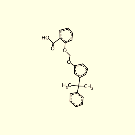 CC(C)(c1ccccc1)c1cccc(OCOc2ccccc2C(=O)O)c1